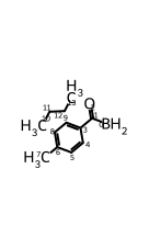 BC(=O)c1ccc(C)cc1.CCCC